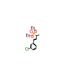 CCOP(=O)(OCC)C(C)C=Cc1cccc(Cl)c1